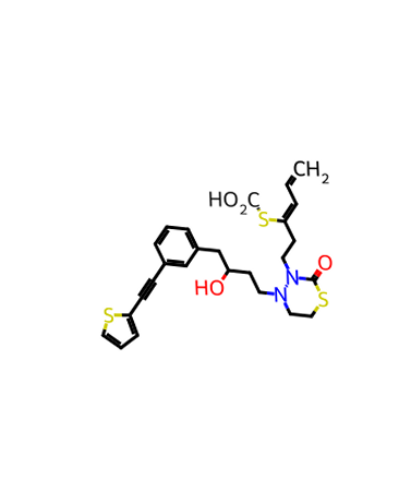 C=C/C=C(/CCN1C(=O)SCCN1CCC(O)Cc1cccc(C#Cc2cccs2)c1)SC(=O)O